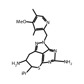 COc1c(C)cnc(Cn2nc3c4c(nc(N)nc42)SC(C(C)C)C(N)C3)c1C